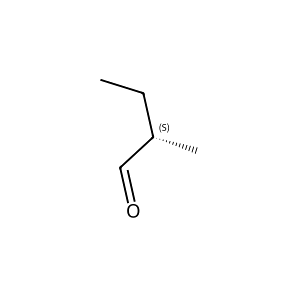 CC[C@H](C)C=O